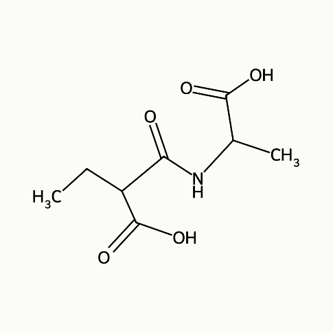 CCC(C(=O)O)C(=O)NC(C)C(=O)O